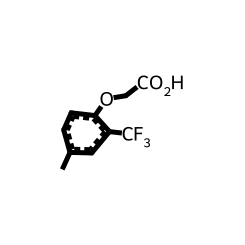 Cc1ccc(OCC(=O)O)c(C(F)(F)F)c1